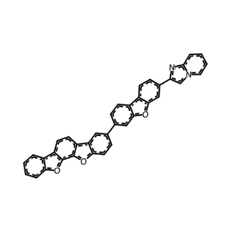 c1ccc2c(c1)oc1c2ccc2c3cc(-c4ccc5c(c4)oc4cc(-c6cn7ccccc7n6)ccc45)ccc3oc21